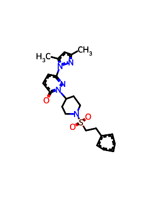 Cc1cc(C)n(-c2ccc(=O)n(C3CCN(S(=O)(=O)CCc4ccccc4)CC3)n2)n1